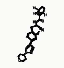 N#CC(Cc1ccc(-c2cnn(C3CCOCC3)c2)cc1F)NC(=O)[C@H]1N[C@@H]2CC[C@H]1C2